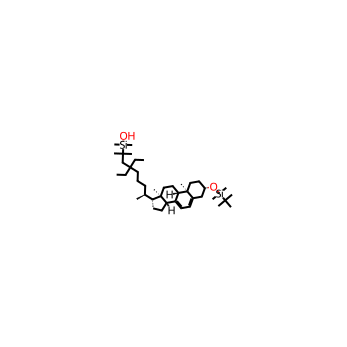 CCC(CC)(CCC[C@H](C)[C@H]1CC[C@H]2C3=CC=C4C[C@@H](O[Si](C)(C)C(C)(C)C)CC[C@]4(C)[C@H]3CC[C@]12C)CC(C)(C)[Si](C)(C)O